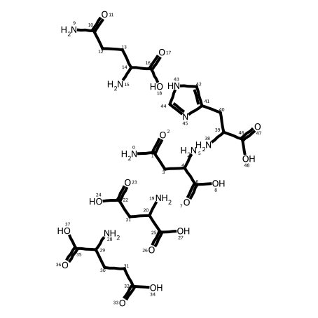 NC(=O)CC(N)C(=O)O.NC(=O)CCC(N)C(=O)O.NC(CC(=O)O)C(=O)O.NC(CCC(=O)O)C(=O)O.NC(Cc1c[nH]cn1)C(=O)O